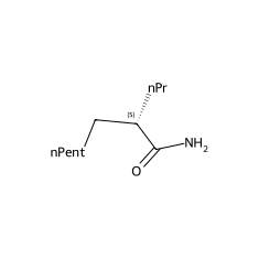 CCCCCC[C@H](CCC)C(N)=O